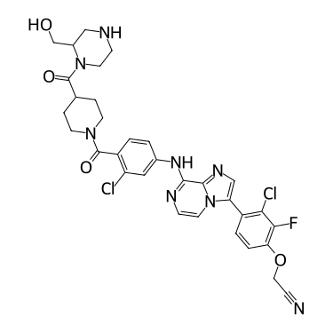 N#CCOc1ccc(-c2cnc3c(Nc4ccc(C(=O)N5CCC(C(=O)N6CCNCC6CO)CC5)c(Cl)c4)nccn23)c(Cl)c1F